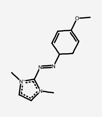 COC1=CCC(N=Nc2n(C)cc[n+]2C)C=C1